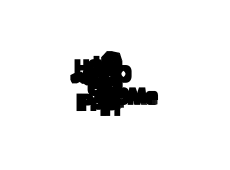 C=CCOC(=O)N1c2cc(O[Si](C(C)C)(C(C)C)C(C)C)c(OC)cc2C(=O)N2CCCC[C@H]2C1O